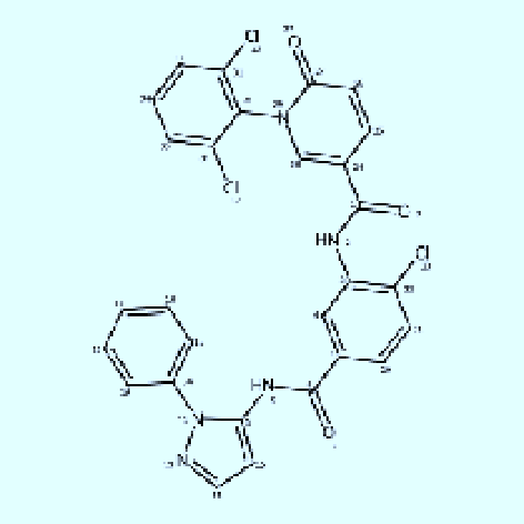 O=C(Nc1cc(C(=O)Nc2ccnn2-c2ccccc2)ccc1Cl)c1ccc(=O)n(-c2c(Cl)cccc2Cl)c1